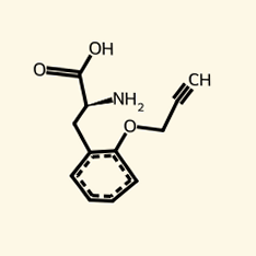 C#CCOc1ccccc1C[C@H](N)C(=O)O